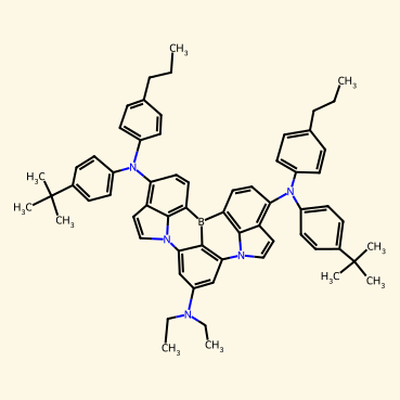 CCCc1ccc(N(c2ccc(C(C)(C)C)cc2)c2ccc3c4c2ccn4-c2cc(N(CC)CC)cc4c2B3c2ccc(N(c3ccc(CCC)cc3)c3ccc(C(C)(C)C)cc3)c3ccn-4c23)cc1